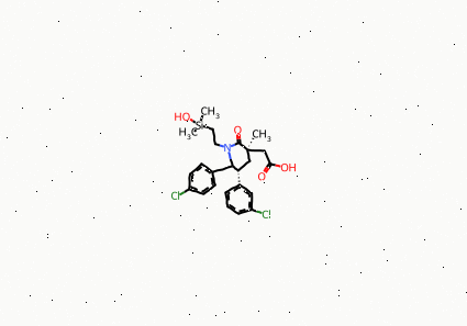 C[C@]1(CC(=O)O)C[C@H](c2cccc(Cl)c2)C(c2ccc(Cl)cc2)N(CC[Si](C)(C)O)C1=O